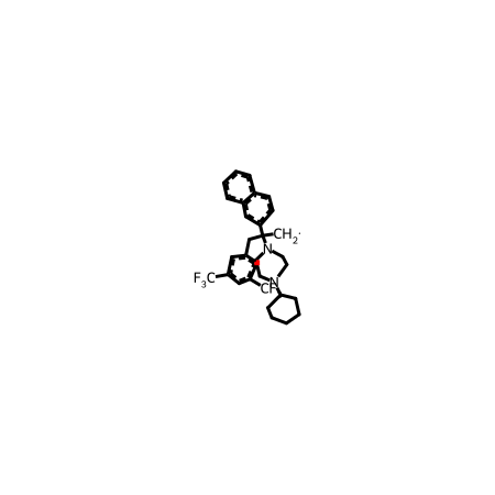 [CH2]C(Cc1cc(C(F)(F)F)cc(C(F)(F)F)c1)(c1ccc2ccccc2c1)N1CCN(C2CCCCC2)CC1